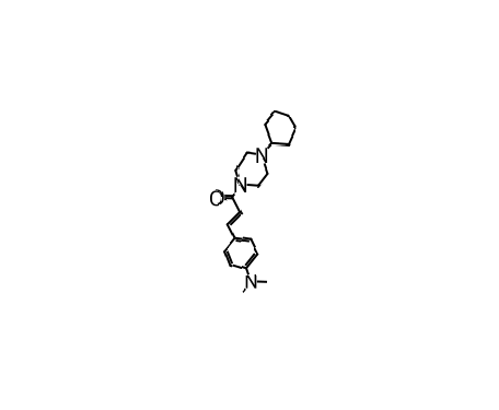 CN(C)c1ccc(C=CC(=O)N2CCN(C3CCCCC3)CC2)cc1